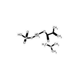 C=C(C)C(=O)OCCC.CN(C)C.COS(=O)(=O)O